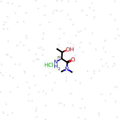 CC(O)[C@H](N)C(=O)N(C)C.Cl